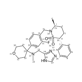 C[C@H]1CC[C@H](c2ccccc2)S(=O)(=O)N1Cc1ccc(C2(N(C)Cc3nnc[nH]3)CCOCC2)cc1F